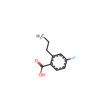 CCCc1cc(F)ccc1C(=O)O